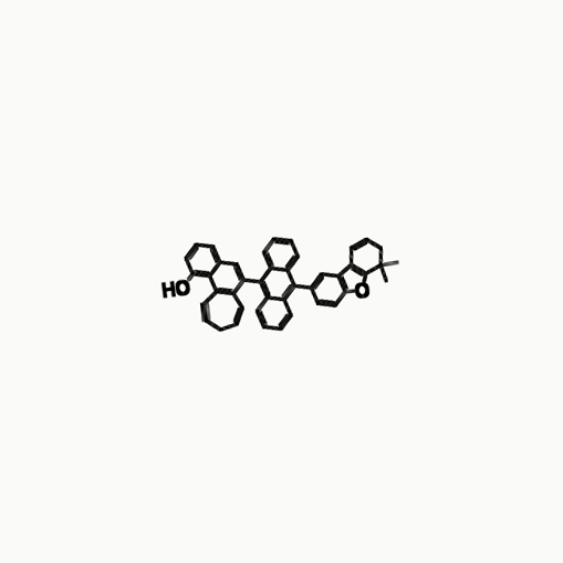 CC1(C)CC=Cc2c1oc1ccc(-c3c4ccccc4c(-c4cc5cccc(O)c5c5c4C=CCC#C5)c4ccccc34)cc21